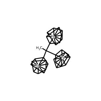 CC([C]12[CH]3[CH]4[CH]5[CH]1[Fe]45321678[CH]2[CH]1[CH]6[CH]7[CH]28)([C]12[CH]3[CH]4[CH]5[CH]1[Fe]45321678[CH]2[CH]1[CH]6[CH]7[CH]28)[C]12[CH]3[CH]4[CH]5[CH]1[Fe]45321678[CH]2[CH]1[CH]6[CH]7[CH]28